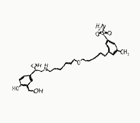 Cc1cc(CCCCOCCCCCCNC[C@H](O)c2ccc(O)c(CO)c2)cc(S(N)(=O)=O)c1